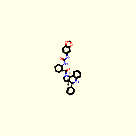 O=C(Nc1ccc2c(c1)OCO2)N[C@@H]1CCCC[C@@H]1C(=O)N1CC[C@@H]2[C@H](C3C=CC=CC3)Nc3ccccc3[C@@H]21